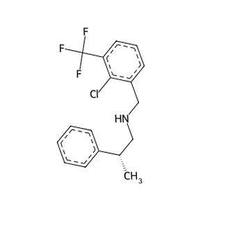 C[C@@H](CNCc1cccc(C(F)(F)F)c1Cl)c1ccccc1